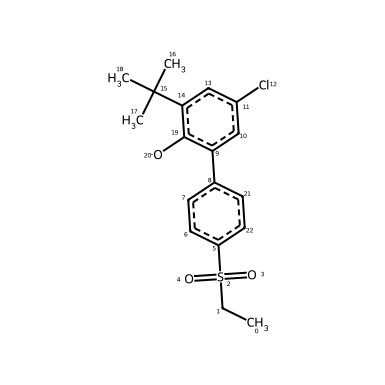 CCS(=O)(=O)c1ccc(-c2cc(Cl)cc(C(C)(C)C)c2[O])cc1